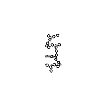 CCC(C)c1ccc(-n2c3ccc(-c4ccc5oc6cccc(-c7cccc(-c8nc(-c9ccccc9)cc(-c9ccccc9)n8)c7)c6c5c4)cc3c3ccc(-c4ccc(-c5cc(-c6ccccc6)nc(-c6cccc(-c7cccc8oc9ccc(-c%10ccc%11c(c%10)c%10ccccc%10n%11-c%10ccc(C%11CCCCC%11)cc%10)cc9c78)c6)n5)cc4)cc32)cc1